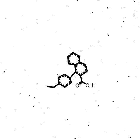 CCc1ccc(-c2c(C(=O)O)ccc3ccccc23)cc1